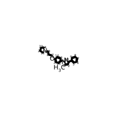 Cc1cc(-c2ccccc2)nn1-c1ccc(OCCCN2CCCC2)cc1